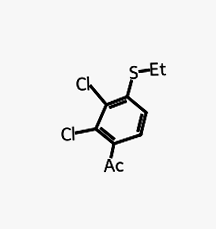 CCSc1ccc(C(C)=O)c(Cl)c1Cl